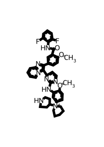 COc1ccc([N+]2(C3CCNCC3)CCCCC2)cc1Nc1nccc(-c2c(-c3ccc(OC)c(C(=O)Nc4c(F)cccc4F)c3)nc3ccccn23)n1